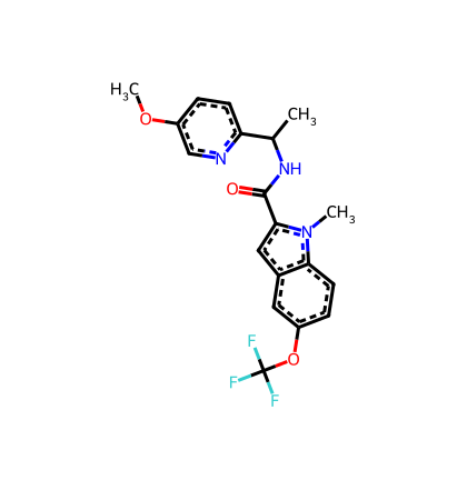 COc1ccc(C(C)NC(=O)c2cc3cc(OC(F)(F)F)ccc3n2C)nc1